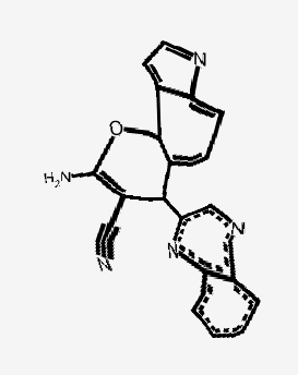 N#CC1=C(N)OC2C3=CC=NC3=CC=C2C1c1cnc2ccccc2n1